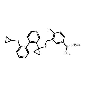 CCCCC[C@H](C)c1ccc(Cl)c(COC2(c3cnccc3-c3ccccc3OC3CC3)CC2)c1